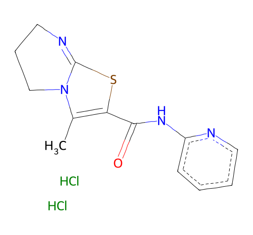 CC1=C(C(=O)Nc2ccccn2)SC2=NCCCN21.Cl.Cl